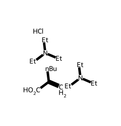 C=C(CCCC)C(=O)O.CCN(CC)CC.CCN(CC)CC.Cl